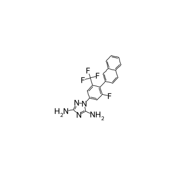 Nc1nc(N)n(-c2cc(F)c(-c3ccc4ccccc4c3)c(C(F)(F)F)c2)n1